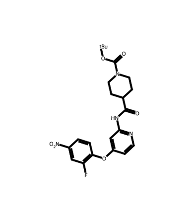 CC(C)(C)OC(=O)N1CCC(C(=O)Nc2cc(Oc3ccc([N+](=O)[O-])cc3F)ccn2)CC1